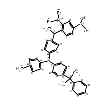 CCN(CC)c1ccc(C(C)c2ccc(N(c3ccc(C)cc3)c3ccc(C(C)(C)c4ccccc4)cc3)cc2)c(N(CC)CC)c1